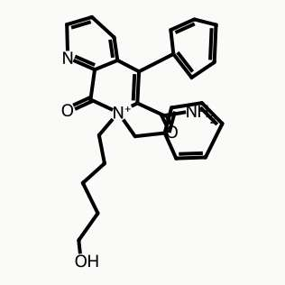 NC(=O)C1=C(c2ccccc2)c2cccnc2C(=O)[N+]1(CCCCCO)Cc1ccccc1